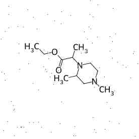 CCOC(=O)C(C)N1CCN(C)CC1C